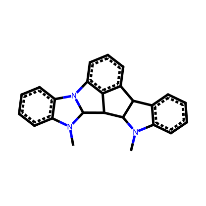 CN1c2ccccc2C2c3cccc4c3C(C21)C1N(C)c2ccccc2N41